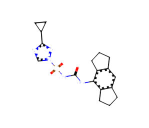 O=C(Nc1c2c(cc3c1CCC3)CCC2)NS(=O)(=O)n1cnc(C2CC2)n1